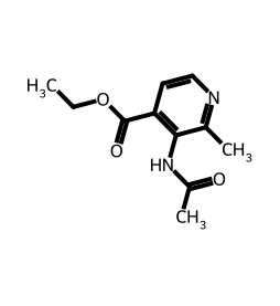 CCOC(=O)c1ccnc(C)c1NC(C)=O